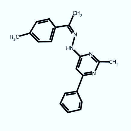 C/C(=N/Nc1cc(-c2ccccc2)nc(C)n1)c1ccc(C)cc1